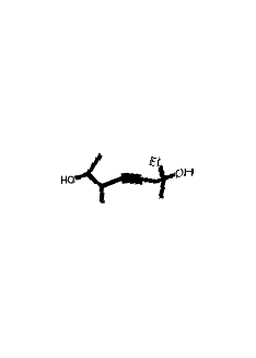 CCC(C)(O)C#CC(C)C(C)O